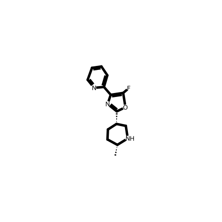 C[C@@H]1CC[C@H](c2nc(-c3ccccn3)c(F)o2)CN1